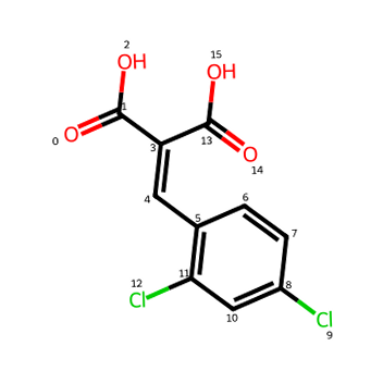 O=C(O)C(=Cc1ccc(Cl)cc1Cl)C(=O)O